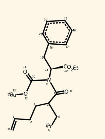 C=CCCC(CC(C)C)C(=O)N(C(=O)OC(C)(C)C)[C@@H](Cc1ccccc1)C(=O)OCC